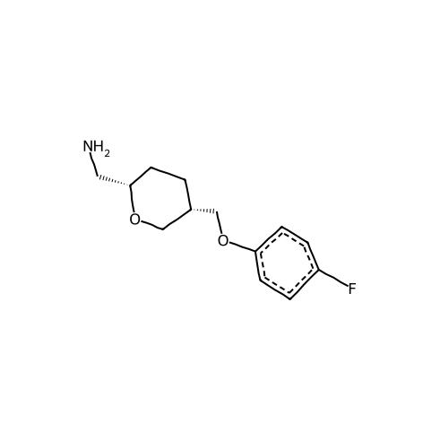 NC[C@@H]1CC[C@H](COc2ccc(F)cc2)CO1